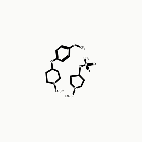 CCOC(=O)N1CCC(OS(C)(=O)=O)CC1.CCOC(=O)N1CCC(Oc2ccc(OC(F)(F)F)cc2)CC1